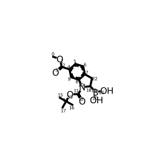 COC(=O)c1ccc2c(c1)N(C(=O)OC(C)(C)C)C(B(O)O)C2